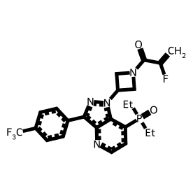 C=C(F)C(=O)N1CC(n2nc(-c3ccc(C(F)(F)F)cc3)c3nccc(P(=O)(CC)CC)c32)C1